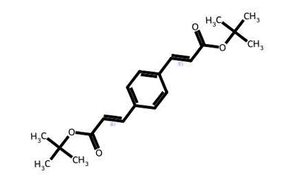 CC(C)(C)OC(=O)/C=C/c1ccc(/C=C/C(=O)OC(C)(C)C)cc1